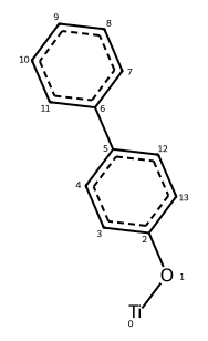 [Ti][O]c1ccc(-c2ccccc2)cc1